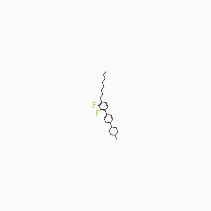 CCCCCCCCc1ccc(C2=CCC(C3CCC(C)CC3)C=C2)c(F)c1F